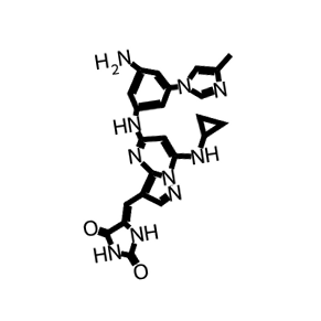 Cc1cn(-c2cc(N)cc(Nc3cc(NC4CC4)n4ncc(/C=C5\NC(=O)NC5=O)c4n3)c2)cn1